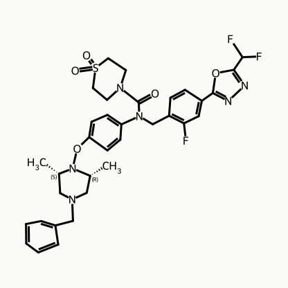 C[C@@H]1CN(Cc2ccccc2)C[C@H](C)N1Oc1ccc(N(Cc2ccc(-c3nnc(C(F)F)o3)cc2F)C(=O)N2CCS(=O)(=O)CC2)cc1